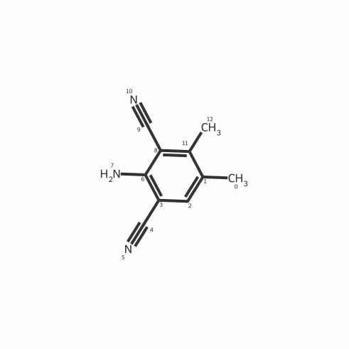 Cc1cc(C#N)c(N)c(C#N)c1C